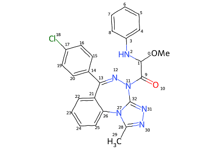 COC(Nc1ccccc1)C(=O)N1N=C(c2ccc(Cl)cc2)c2ccccc2-n2c(C)nnc21